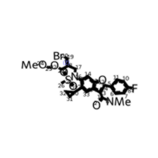 CNC(=O)c1c(-c2ccc(F)cc2)oc2cc(N(C/C(=C/Br)COCOC)S(C)(=O)=O)c(C3CC3)cc12